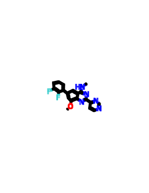 CNc1nc(-c2ccncn2)nc2c(OC)cc(-c3cccc(F)c3F)cc12